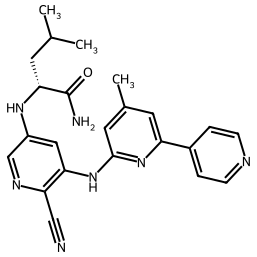 Cc1cc(Nc2cc(N[C@H](CC(C)C)C(N)=O)cnc2C#N)nc(-c2ccncc2)c1